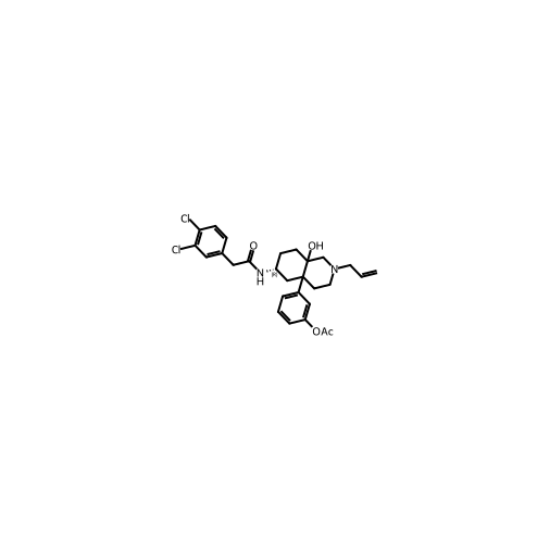 C=CCN1CCC2(c3cccc(OC(C)=O)c3)C[C@H](NC(=O)Cc3ccc(Cl)c(Cl)c3)CCC2(O)C1